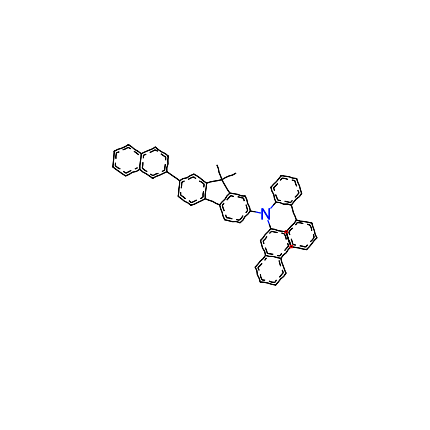 CC1(C)c2cc(-c3ccc4ccccc4c3)ccc2-c2ccc(N(c3ccc4ccccc4c3)c3ccccc3-c3ccccc3)cc21